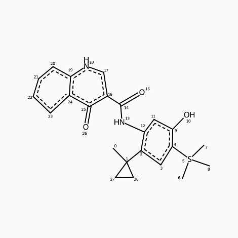 CC1(c2cc(S(C)(C)C)c(O)cc2NC(=O)c2c[nH]c3ccccc3c2=O)CC1